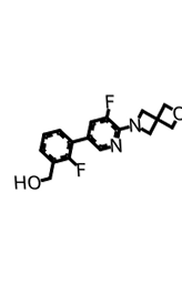 OCc1cccc(-c2cnc(N3CC4(COC4)C3)c(F)c2)c1F